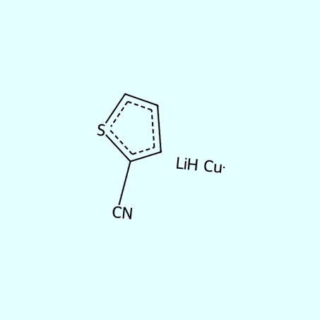 N#Cc1cccs1.[Cu].[LiH]